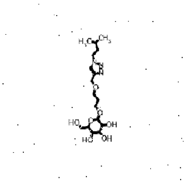 CC(C)CCn1cc(COCCCOC2OC(CO)C(O)C(O)C2O)nn1